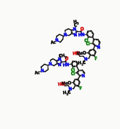 COc1cc(-c2nccc(-c3cccc(NC(=O)c4nc5c(n4C)CCN(C4CCN(C(C)=O)CC4)C5)c3Cl)c2Cl)cc(F)c1CN(C)CCO.COc1cc(-c2nccc(-c3cccc(NC(=O)c4nc5c(n4C)CCN(C4CCN(C(C)=O)CC4)C5)c3Cl)c2Cl)cc(F)c1CN(C)CCO